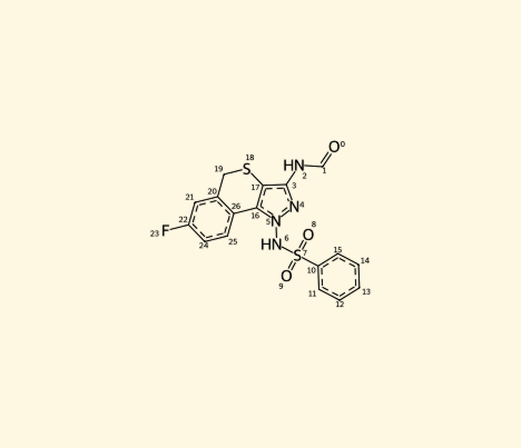 O=CNc1nn(NS(=O)(=O)c2ccccc2)c2c1SCc1cc(F)ccc1-2